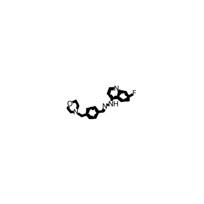 Fc1ccc2c(N/N=C/c3ccc(CN4CCOCC4)cc3)ccnc2c1